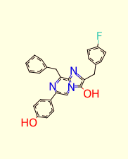 Oc1ccc(-c2cn3c(O)c(Cc4ccc(F)cc4)nc3c(Cc3ccccc3)n2)cc1